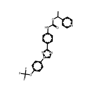 CC(OC(=O)Nc1ccc(-c2ncn(-c3ccc(OC(F)(F)F)cc3)n2)cc1)c1ccncc1